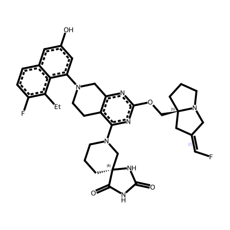 CCc1c(F)ccc2cc(O)cc(N3CCc4c(nc(OC[C@@]56CCCN5C/C(=C\F)C6)nc4N4CCC[C@]5(C4)NC(=O)NC5=O)C3)c12